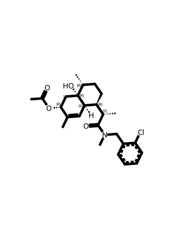 CC(=O)O[C@@H]1[C][C@@]2(O)[C@H](C)CC[C@@H]([C@H](C)C(=O)N(C)Cc3ccccc3Cl)[C@H]2C=C1C